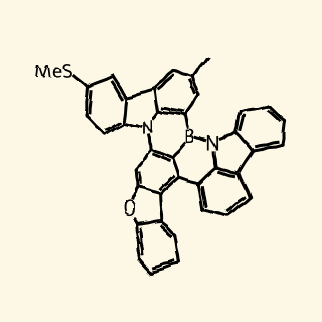 CSc1ccc2c(c1)c1cc(C)cc3c1n2-c1cc2oc4ccccc4c2c2c1B3n1c3ccccc3c3cccc-2c31